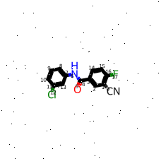 N#Cc1cc(C(=O)Nc2cccc(Cl)c2)ccc1F